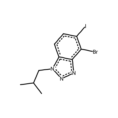 CC(C)Cn1nnc2c(Br)c(I)ccc21